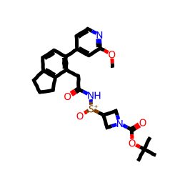 COc1cc(-c2ccc3c(c2CC(=O)N[S+]([O-])C2CN(C(=O)OC(C)(C)C)C2)CCC3)ccn1